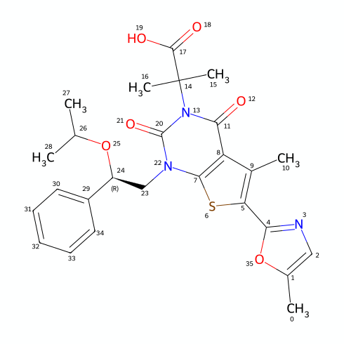 Cc1cnc(-c2sc3c(c2C)c(=O)n(C(C)(C)C(=O)O)c(=O)n3C[C@H](OC(C)C)c2ccccc2)o1